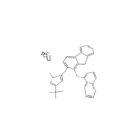 CC1C=C(C(C)(C)C)C=C1c1ccc2c(c1Cc1cccc3ccccc13)Cc1ccccc1-2.[Cl-].[Cl-].[Zr+2]